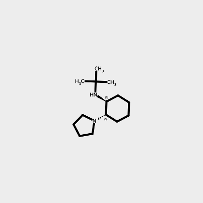 CC(C)(C)N[C@H]1CCCC[C@@H]1N1CCCC1